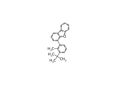 Cc1c(-c2cccc3c2oc2ccccc23)cccc1C(C)(C)C